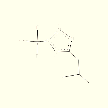 CC(C)Cc1nnn(C(F)(F)F)n1